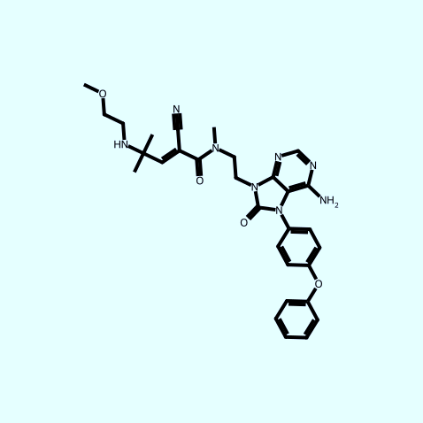 COCCNC(C)(C)C=C(C#N)C(=O)N(C)CCn1c(=O)n(-c2ccc(Oc3ccccc3)cc2)c2c(N)ncnc21